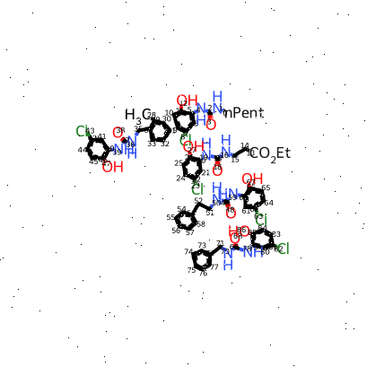 CCCCCNC(=O)Nc1cc(Cl)ccc1O.CCOC(=O)CCNC(=O)Nc1cc(Cl)ccc1O.Cc1ccccc1CNC(=O)Nc1cc(Cl)ccc1O.O=C(NCCc1ccccc1)Nc1cc(Cl)ccc1O.O=C(NCc1ccccc1)Nc1cc(Cl)ccc1O